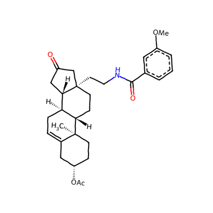 COc1cccc(C(=O)NCC[C@]23CC[C@H]4[C@@H](CC=C5C[C@@H](OC(C)=O)CC[C@@]54C)[C@@H]2CC(=O)C3)c1